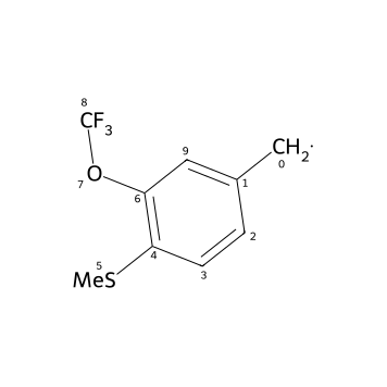 [CH2]c1ccc(SC)c(OC(F)(F)F)c1